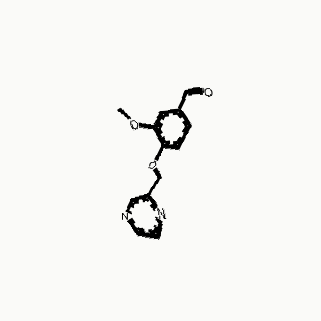 COc1cc(C=O)ccc1OCc1cnccn1